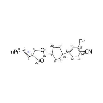 CCC/C=C/[C@H]1CO[C@H](C2CCC(c3ccc(C#N)c(F)c3)CC2)OC1